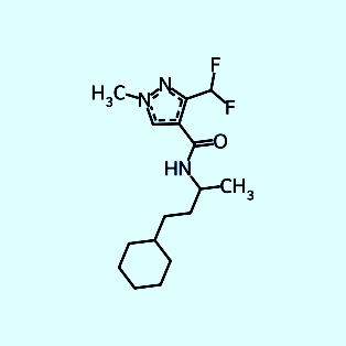 CC(CCC1CCCCC1)NC(=O)c1cn(C)nc1C(F)F